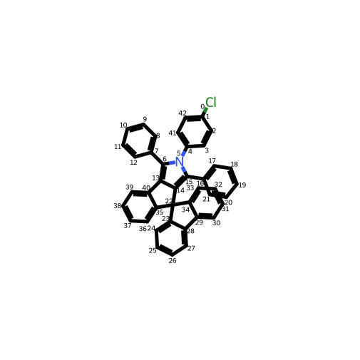 Clc1ccc(-n2c(-c3ccccc3)c3c(c2-c2ccccc2)C2(c4ccccc4-c4ccccc42)c2ccccc2-3)cc1